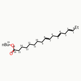 CCC=CCC=CCC=CCCCCCCCC(=O)OCCCC